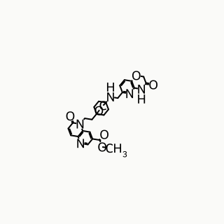 COC(=O)c1cnc2ccc(=O)n(CCC34CCC(NCc5ccc6c(n5)NC(=O)CO6)(CC3)CO4)c2c1